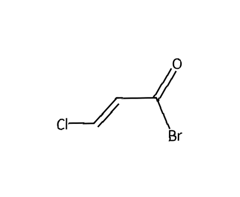 O=C(Br)C=CCl